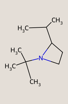 CC(C)C1CCN1C(C)(C)C